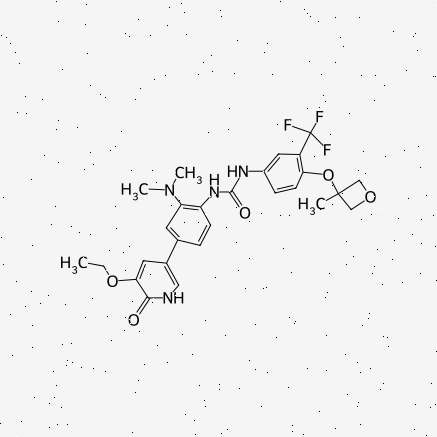 CCOc1cc(-c2ccc(NC(=O)Nc3ccc(OC4(C)COC4)c(C(F)(F)F)c3)c(N(C)C)c2)c[nH]c1=O